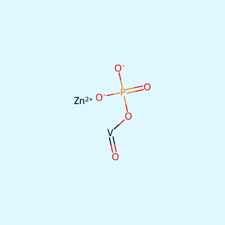 [O]=[V][O]P(=O)([O-])[O-].[Zn+2]